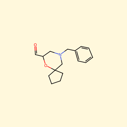 O=CC1CN(Cc2ccccc2)CC2(CCCC2)O1